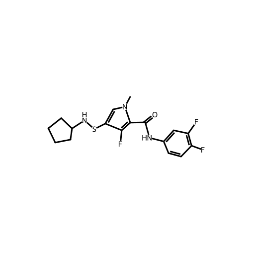 Cn1cc(SNC2CCCC2)c(F)c1C(=O)Nc1ccc(F)c(F)c1